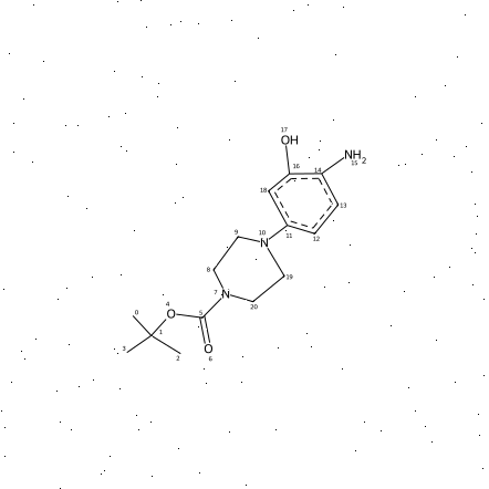 CC(C)(C)OC(=O)N1CCN(c2ccc(N)c(O)c2)CC1